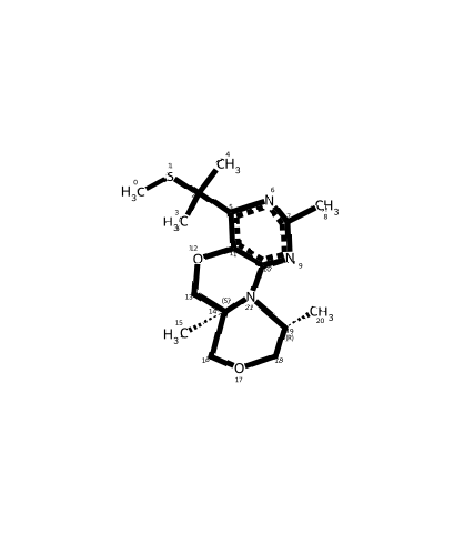 CSC(C)(C)c1nc(C)nc2c1OC[C@]1(C)COC[C@@H](C)N21